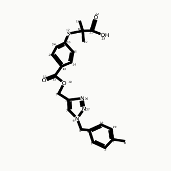 Cc1ccc(Cn2cc(COC(=O)c3ccc(SC(C)(C)C(=O)O)cc3)nn2)cc1